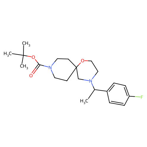 CC(c1ccc(F)cc1)N1CCOC2(CCN(C(=O)OC(C)(C)C)CC2)C1